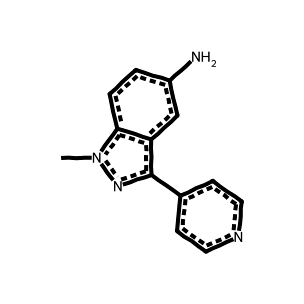 Cn1nc(-c2ccncc2)c2cc(N)ccc21